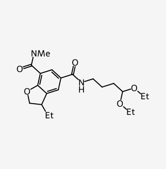 CCOC(CCCNC(=O)c1cc(C(=O)NC)c2c(c1)C(CC)CO2)OCC